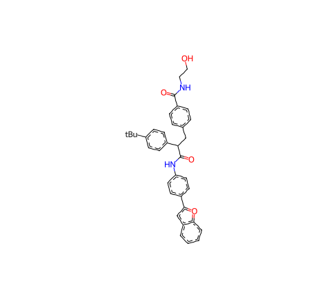 CC(C)(C)c1ccc(C(Cc2ccc(C(=O)NCCO)cc2)C(=O)Nc2ccc(-c3cc4ccccc4o3)cc2)cc1